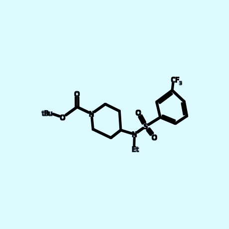 CCN(C1CCN(C(=O)OC(C)(C)C)CC1)S(=O)(=O)c1cccc(C(F)(F)F)c1